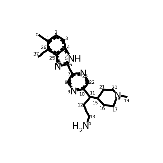 Cc1ccc2[nH]c(-c3cnc(C(CCN)C4CCN(C)CC4)cn3)nc2c1C